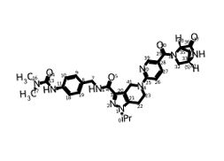 CC(C)n1nc(C(=O)NCc2ccc(NC(=O)N(C)C)cc2)c2c1CCN(c1ccc(C(=O)N3C[C@@H]4C[C@H]3C(=O)N4)cn1)C2